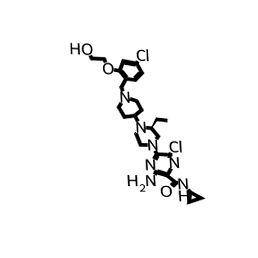 CC[C@H]1CN(c2nc(N)c(C(=O)NC3CC3)nc2Cl)CCN1C1CCN(Cc2ccc(Cl)cc2OCCO)CC1